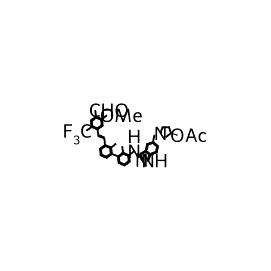 COc1cc(/C=C/c2cccc(-c3cccc(Nc4n[nH]c5ccc(CN6CC[C@@H](OC(C)=O)C6)cc45)c3C)c2C)c(C(F)(F)F)cc1C=O